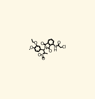 CCOc1cc(C(C(C)=S(=O)=O)N2C(=O)c3cccc(NC(=O)CCl)c3C2=O)ccc1OC